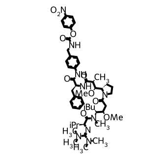 CC[C@H](C)[C@@H]([C@@H](CC(=O)N1CCC[C@H]1[C@H](OC)[C@@H](C)C(=O)N[C@@H](Cc1ccccc1)C(=O)Nc1ccc(CNC(=O)Oc2ccc([N+](=O)[O-])cc2)cc1)OC)N(C)C(=O)[C@@H](N=C(N(C)C)N(C)C)C(C)C